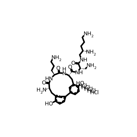 Cl.Cl.Cl.Cl.Cl.NCCC[C@H](N)CNC(=O)[C@H](CN)NC(=O)[C@@H]1Cc2cc(ccc2O)-c2ccc(O)c(c2)C[C@H](N)C(=O)N[C@@H](CCCN)C(=O)N1